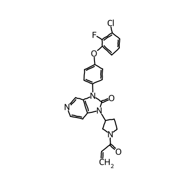 C=CC(=O)N1CCC(n2c(=O)n(-c3ccc(Oc4cccc(Cl)c4F)cc3)c3cnccc32)C1